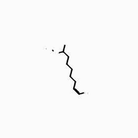 CCCC/C=C\CCCCCC(C)OCCC